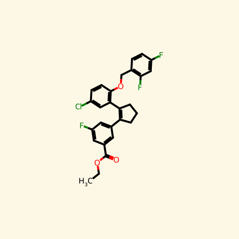 CCOC(=O)c1cc(F)cc(C2=C(c3cc(Cl)ccc3OCc3ccc(F)cc3F)CCC2)c1